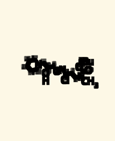 CN(CCC(Cl)=NOCC(O)CN1CCCCC1)C(=O)OC(C)(C)C